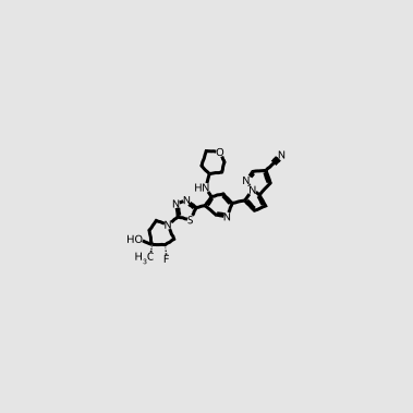 C[C@]1(O)CCN(c2nnc(-c3cnc(-c4ccc5cc(C#N)cnn45)cc3NC3CCOCC3)s2)C[C@@H]1F